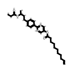 C=CCCCCCCCCC(=O)Oc1cnc(-c2ccc(CCC(C)OC(=O)CC)cc2)nc1